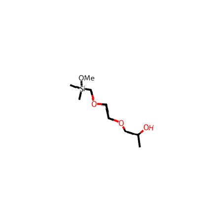 CO[Si](C)(C)COCCOCC(C)O